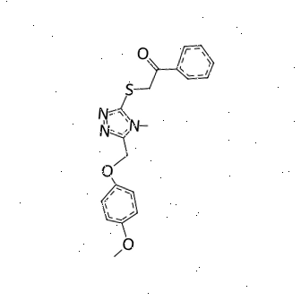 COc1ccc(OCc2nnc(SCC(=O)c3ccccc3)n2C)cc1